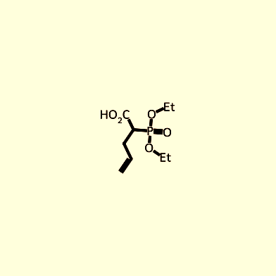 C=CCC(C(=O)O)P(=O)(OCC)OCC